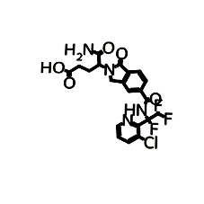 NC(=O)C(CCC(=O)O)N1Cc2cc(C(=O)NC(F)(c3ncccc3Cl)C(F)F)ccc2C1=O